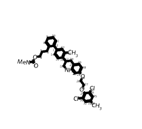 CNC(=O)OCCCc1ccccc1-c1ccc(C(CN)Cc2ccc(OCCOc3c(Cl)cc(C)cc3Cl)cc2)c(C)c1